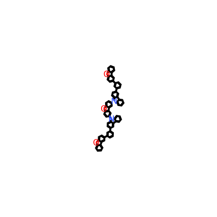 c1cc(-c2ccc3oc4ccccc4c3c2)cc(-c2ccc3c(c2)c2ccccc2n3-c2ccc3oc4ccc(-n5c6ccccc6c6cc(-c7cccc(-c8ccc9oc%10ccccc%10c9c8)c7)ccc65)cc4c3c2)c1